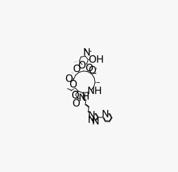 CC[C@H]1OC(=O)[C@H](C)C(=O)C[C@@H](O[C@@H]2O[C@H](C)CC(N(C)C)C2O)[C@](C)(OC)C[C@@H](C)CN[C@H](C)[C@H]2N(C/C=C/Cn3cc(-c4ccccn4)nn3)C(=O)O[C@]12C